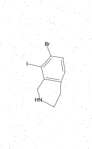 Brc1ccc2c(c1I)CNCC2